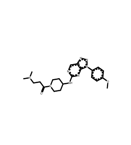 COc1ccc(-n2nnc3cnc(NC4CCN(C(=O)CCN(C)C)CC4)nc32)cc1